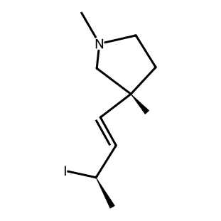 C[C@@H](I)/C=C/[C@@]1(C)CCN(C)C1